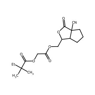 CCC(C)(C)C(=O)OCC(=O)OCC1OC(=O)C2(C#N)CCCC12